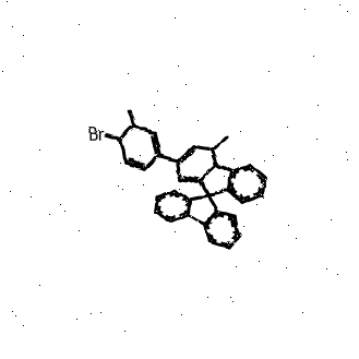 CC1C=C(C2=CC(C)C3C(=C2)C2(c4ccccc4-c4ccccc42)c2ccccc23)C=CC1Br